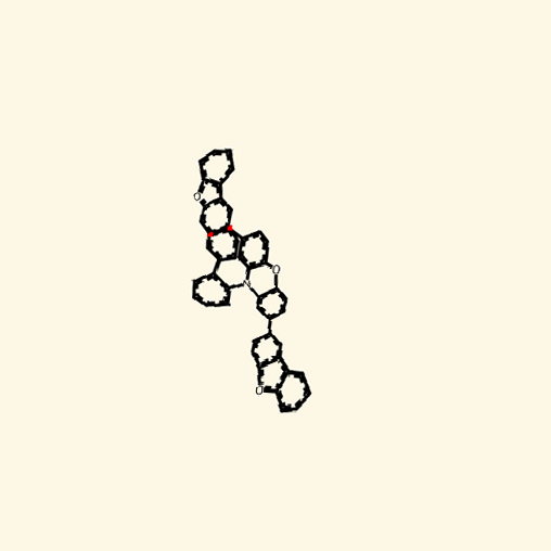 c1ccc(-c2ccccc2N2c3cc(-c4ccc5oc6ccccc6c5c4)ccc3Oc3ccc(-c4ccc5oc6ccccc6c5c4)cc32)cc1